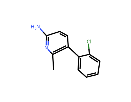 Cc1nc(N)ccc1-c1ccccc1Cl